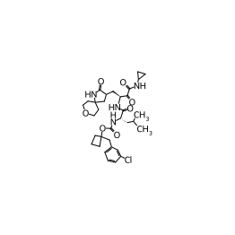 CC(C)C[C@H](NC(=O)OC1(Cc2cccc(Cl)c2)CCC1)C(=O)N[C@@H](CC1CC2(CCOCC2)NC1=O)C(=O)C(=O)NC1CC1